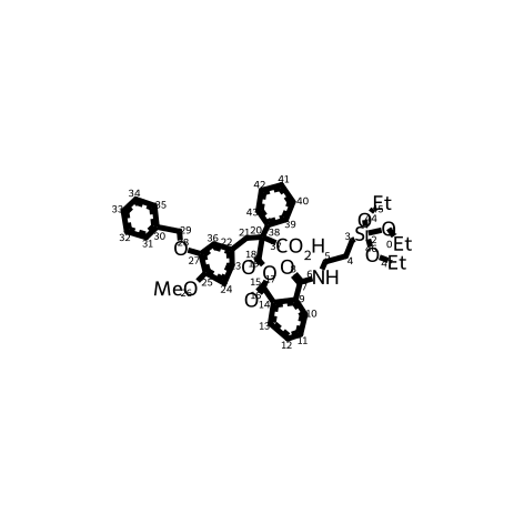 CCO[Si](CCCNC(=O)c1ccccc1C(=O)OC(=O)C(Cc1ccc(OC)c(OCc2ccccc2)c1)(C(=O)O)c1ccccc1)(OCC)OCC